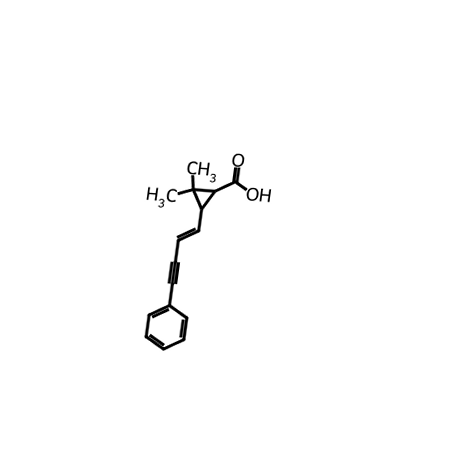 CC1(C)C(C=CC#Cc2ccccc2)C1C(=O)O